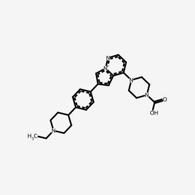 CCN1CCC(c2ccc(-c3cc4c(N5CCN(C(=O)O)CC5)ccnn4c3)cc2)CC1